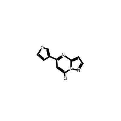 Clc1cc(-c2ccoc2)nc2ccnn12